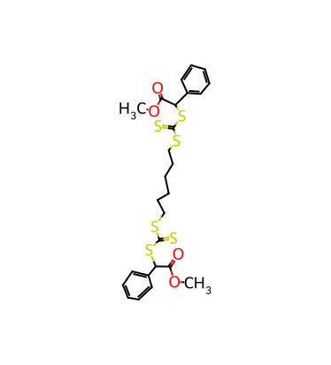 COC(=O)C(SC(=S)SCCCCCCSC(=S)SC(C(=O)OC)c1ccccc1)c1ccccc1